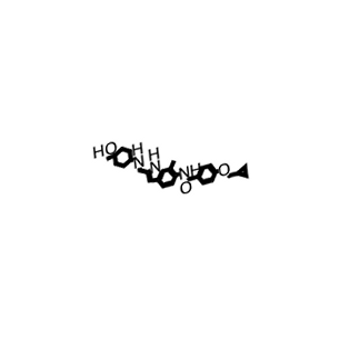 Cc1c(NC(=O)c2ccc(OCC3CC3)cc2)ccc2cc(CNC3CCC(C)(O)CC3)[nH]c12